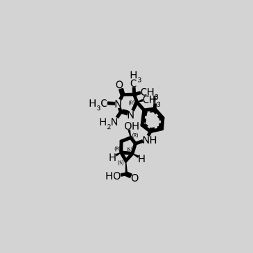 CN1C(=O)C(C)(C)[C@](C)(c2cc(NC3[C@H]4[C@@H](C[C@H]3O)[C@@H]4C(=O)O)ccc2F)N=C1N